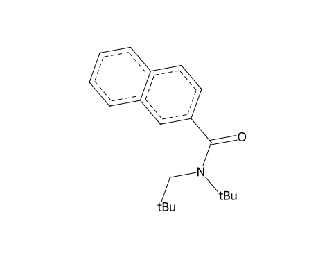 CC(C)(C)CN(C(=O)c1ccc2ccccc2c1)C(C)(C)C